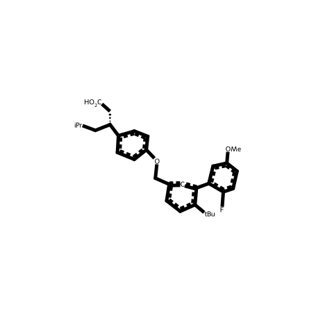 COc1ccc(F)c(-c2cc(COc3ccc([C@@H](CC(=O)O)CC(C)C)cc3)ccc2C(C)(C)C)c1